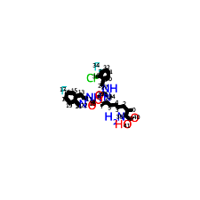 CC(CCCCC(COC(=O)Nc1cc2cc(F)ccc2cn1)N(C)C(=O)NCc1cccc(F)c1Cl)[C@@H](N)C(=O)O